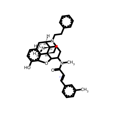 Cc1cccc(/C=C/C(=O)N(C)C2CC[C@@]3(N(C)C)[C@H]4Cc5ccc(O)c6c5[C@@]3(CCN4CCc3ccccc3)C2O6)c1